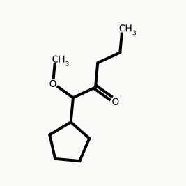 CCCC(=O)C(OC)C1CCCC1